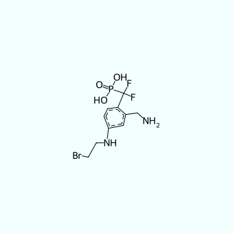 NCc1cc(NCCBr)ccc1C(F)(F)P(=O)(O)O